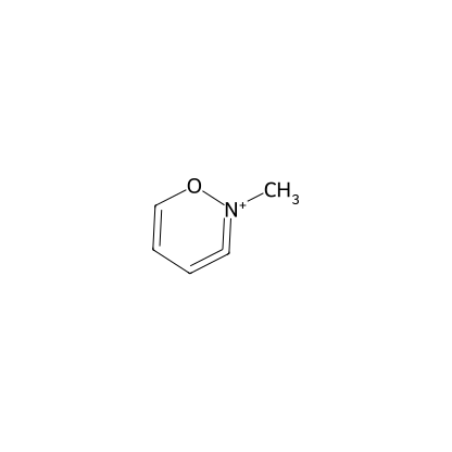 C[N+]1=C=CC=CO1